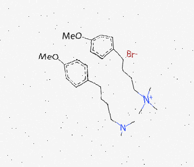 COc1ccc(CCCCN(C)C)cc1.COc1ccc(CCCC[N+](C)(C)C)cc1.[Br-]